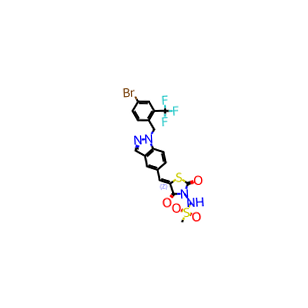 CS(=O)(=O)NN1C(=O)S/C(=C\c2ccc3c(cnn3Cc3ccc(Br)cc3C(F)(F)F)c2)C1=O